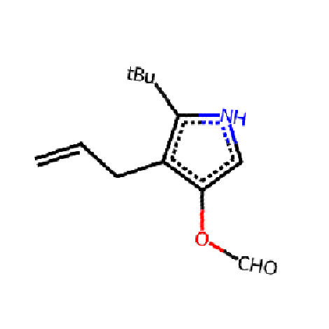 C=CCc1c(OC=O)c[nH]c1C(C)(C)C